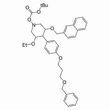 CCOC1CN(OC(=O)OC(C)(C)C)CC(OCc2ccc3ccccc3c2)C1c1ccc(OCCCOCc2ccccc2)cc1